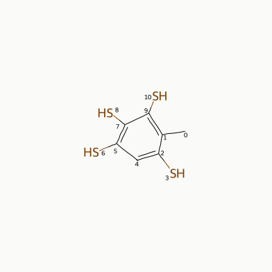 Cc1c(S)cc(S)c(S)c1S